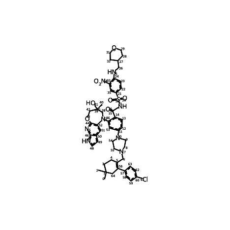 CC1(C)CCC(CN2CCN(c3ccc(C(=O)NS(=O)(=O)c4ccc(NCC5CCOCC5)c([N+](=O)[O-])c4)c(N4C[C@@](C)(O)COc5nc6[nH]ccc6cc54)c3)CC2)=C(c2ccc(Cl)cc2)C1